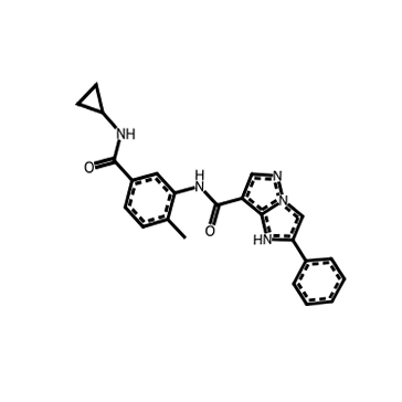 Cc1ccc(C(=O)NC2CC2)cc1NC(=O)c1cnn2cc(-c3ccccc3)[nH]c12